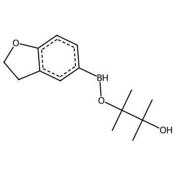 CC(C)(O)C(C)(C)OBc1ccc2c(c1)CCO2